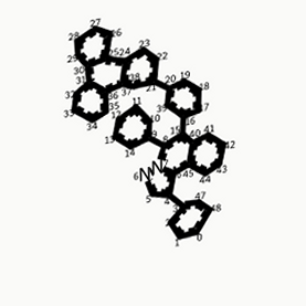 c1ccc(-c2cnn3c(-c4ccccc4)c(-c4cccc(-c5ccc6c7ccccc7c7ccccc7c6c5)c4)c4ccccc4c23)cc1